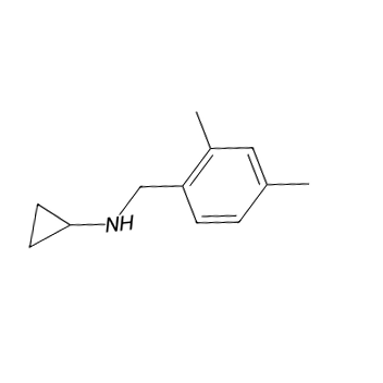 Cc1ccc(CNC2CC2)c(C)c1